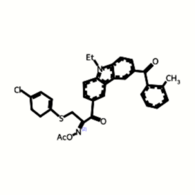 CCn1c2ccc(C(=O)/C(CSC3=CC=C(Cl)CC3)=N/OC(C)=O)cc2c2cc(C(=O)c3ccccc3C)ccc21